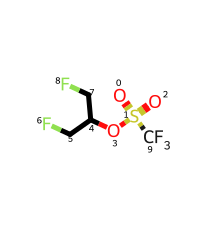 O=S(=O)(OC(CF)CF)C(F)(F)F